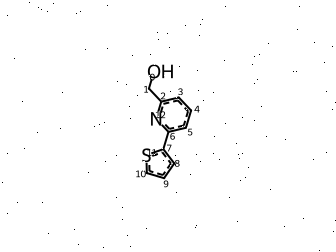 OCc1cccc(-c2cccs2)n1